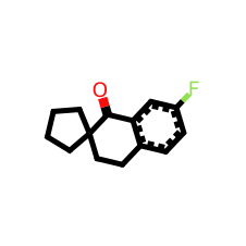 O=C1c2cc(F)ccc2CCC12CCCC2